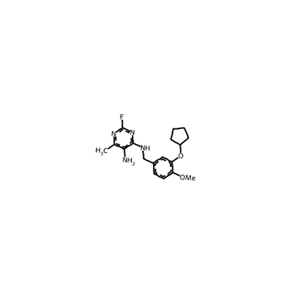 COc1ccc(CNc2nc(F)nc(C)c2N)cc1OC1CCCC1